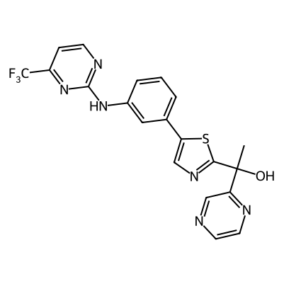 CC(O)(c1cnccn1)c1ncc(-c2cccc(Nc3nccc(C(F)(F)F)n3)c2)s1